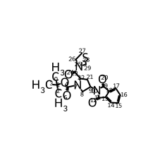 CC(C)(C)OC(=O)N1CC(N2C(=O)c3ccccc3C2=O)CC1C(=O)N1CCSC1